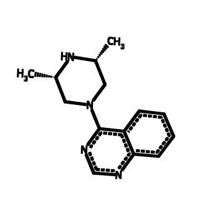 C[C@@H]1CN(c2ncnc3ccccc23)C[C@H](C)N1